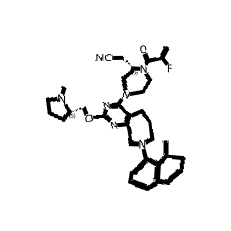 C=C(F)C(=O)N1CCN(c2nc(OC[C@@H]3CCCN3C)nc3c2CCCN(c2cccc4c2C(C)CC=C4)C3)C[C@@H]1CC#N